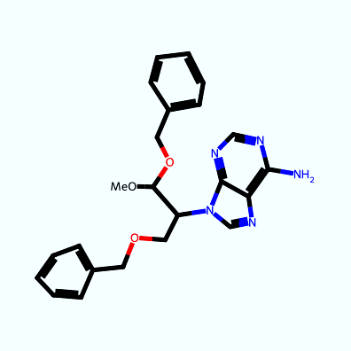 COC(OCc1ccccc1)C(COCc1ccccc1)n1cnc2c(N)ncnc21